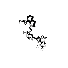 CCOc1cc(-c2cc(NCCn3c(C)cc4cccc(OCF)c43)ncn2)sc1-c1noc(=O)[nH]1